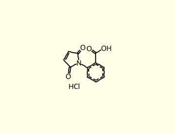 Cl.O=C(O)c1ccccc1N1C(=O)C=CC1=O